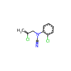 C=C(Cl)CN(C#N)c1ccccc1Cl